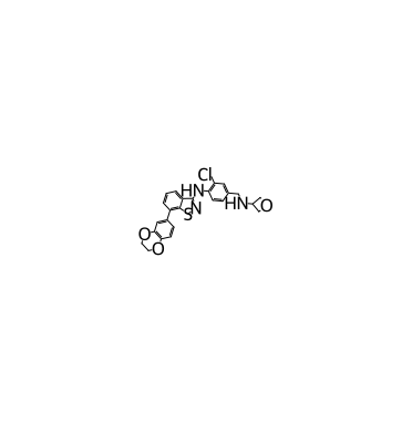 Clc1cc(CNC2COC2)ccc1Nc1nsc2c(-c3ccc4c(c3)OCCO4)cccc12